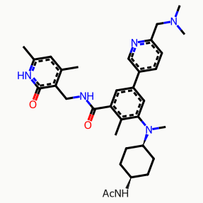 CC(=O)N[C@H]1CC[C@@H](N(C)c2cc(-c3ccc(CN(C)C)nc3)cc(C(=O)NCc3c(C)cc(C)[nH]c3=O)c2C)CC1